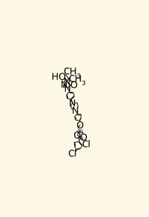 CC(O)C(C)n1ncn(-c2ccc(N3CCN(c4ccc(OC[C@@H]5CO[C@@H](c6ccc(Cl)cc6Cl)O5)cc4)CC3)cc2)c1=O